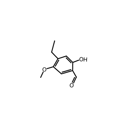 CCc1cc(O)c(C=O)cc1OC